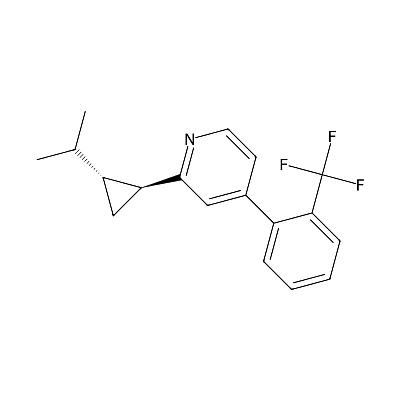 CC(C)[C@H]1C[C@@H]1c1cc(-c2ccccc2C(F)(F)F)ccn1